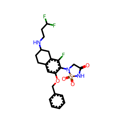 O=C1CN(c2c(OCc3ccccc3)cc3c(c2F)CC(NCCC(F)F)CC3)S(=O)(=O)N1